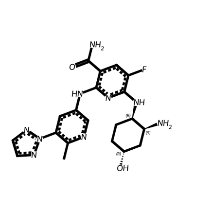 Cc1ncc(Nc2nc(N[C@@H]3CC[C@@H](O)C[C@@H]3N)c(F)cc2C(N)=O)cc1-n1nccn1